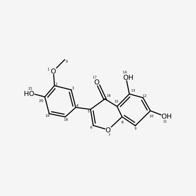 COc1cc(-c2coc3cc(O)cc(O)c3c2=O)ccc1O